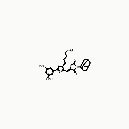 COc1cc(OC)cc(-c2cc(CCCCC(=O)O)c(/C=C3\SC(=S)N(C4C5CC6CC(C5)CC4C6)C3=O)o2)c1